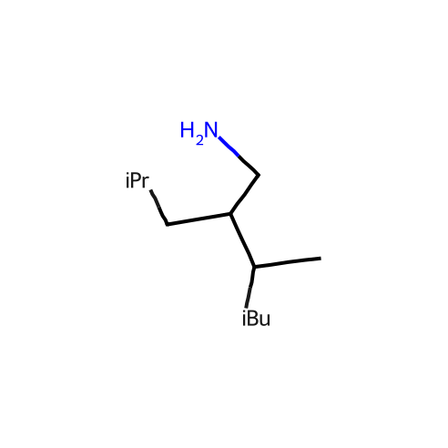 CCC(C)C(C)C(CN)CC(C)C